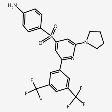 Nc1ccc(S(=O)(=O)c2cc(-c3cc(C(F)(F)F)cc(C(F)(F)F)c3)nc(N3CCCC3)c2)cc1